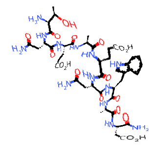 C[C@H](NC(=O)[C@H](Cc1c[nH]c2ccccc12)NC(=O)[C@H](CC(N)=O)NC(=O)[C@H](CCC(=O)O)NC(=O)[C@H](C)NC(=O)[C@H](CCC(=O)O)NC(=O)[C@H](CC(N)=O)NC(=O)[C@@H](N)[C@@H](C)O)C(=O)N[C@@H](CC(=O)O)C(N)=O